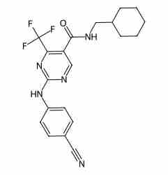 N#Cc1ccc(Nc2ncc(C(=O)NCC3CCCCC3)c(C(F)(F)F)n2)cc1